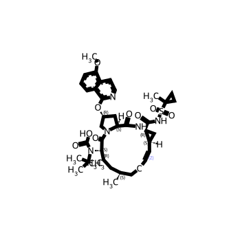 COc1cccc2c(O[C@@H]3C[C@H]4C(=O)N[C@]5(C(=O)NS(=O)(=O)C6(C)CC6)C[C@H]5/C=C\CC[C@H](C)C[C@@H](C)[C@H](N(C(=O)O)C(C)(C)C)C(=O)N4C3)nccc12